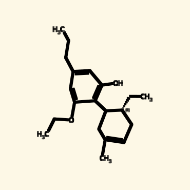 CCCc1cc(O)c(C2CC(C)=CC[C@H]2CC)c(OCC)c1